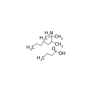 CCCC(=O)O.CCCCCC(C)C(C)(C)N